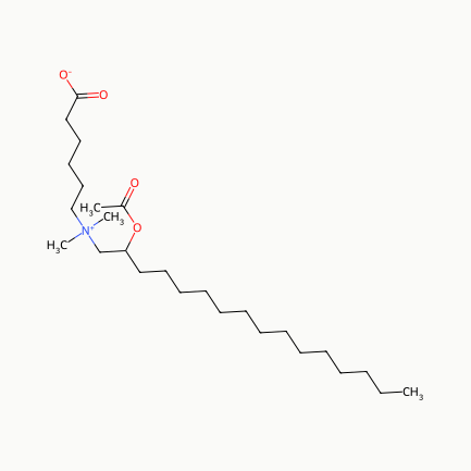 CCCCCCCCCCCCCCC(C[N+](C)(C)CCCCCC(=O)[O-])OC(C)=O